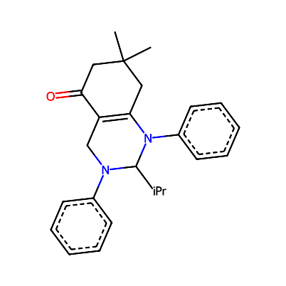 CC(C)C1N(c2ccccc2)CC2=C(CC(C)(C)CC2=O)N1c1ccccc1